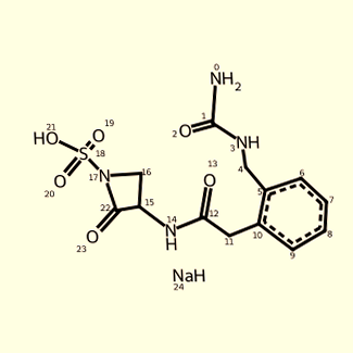 NC(=O)NCc1ccccc1CC(=O)NC1CN(S(=O)(=O)O)C1=O.[NaH]